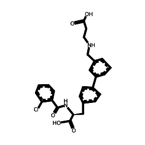 O=C(O)CCNCc1cccc(-c2ccc(C[C@H](NC(=O)c3ccccc3Cl)C(=O)O)cc2)c1